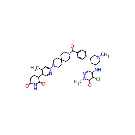 Cc1cc(N2CCC3(CCN(C(=O)c4ccc([C@H]5C[C@@H](Nc6cnn(C)c(=O)c6Cl)CN(C)C5)cc4)CC3)CC2)ncc1C1CCC(=O)NC1=O